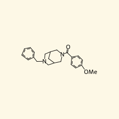 COc1ccc(C(=O)N2CC3CC(CN(Cc4ccccc4)C3)C2)cc1